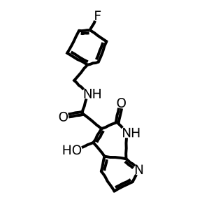 O=C(NCc1ccc(F)cc1)c1c(O)c2cccnc2[nH]c1=O